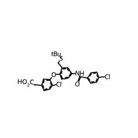 CC(C)(C)SCc1cc(NC(=O)c2ccc(Cl)cc2)ccc1Oc1cc(CC(=O)O)ccc1Cl